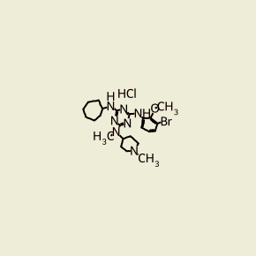 COc1c(Br)cccc1Nc1nc(NC2CCCCCC2)nc(N(C)C2CCN(C)CC2)n1.Cl